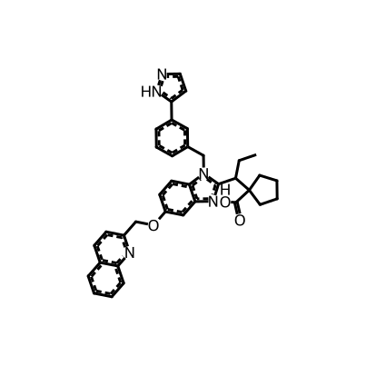 CCC(c1nc2cc(OCc3ccc4ccccc4n3)ccc2n1Cc1cccc(-c2ccn[nH]2)c1)C1(C(=O)O)CCCC1